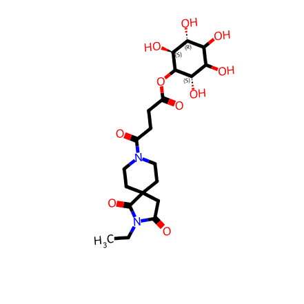 CCN1C(=O)CC2(CCN(C(=O)CCC(=O)OC3[C@@H](O)C(O)C(O)[C@@H](O)[C@@H]3O)CC2)C1=O